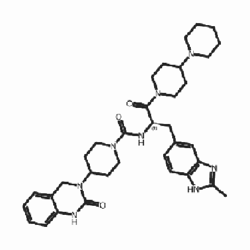 Cc1nc2cc(C[C@@H](NC(=O)N3CCC(N4Cc5ccccc5NC4=O)CC3)C(=O)N3CCC(N4CCCCC4)CC3)ccc2[nH]1